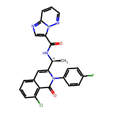 C[C@H](NC(=O)c1cnc2cccnn12)c1cc2cccc(Cl)c2c(=O)n1-c1ccc(F)cc1